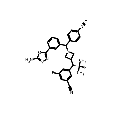 [C-]#[N+]c1ccc(C(c2cccc(-c3nnc(N)o3)c2)N2CC([C@@H](c3cc(F)cc(C#N)c3)C(C)(C)F)C2)cc1